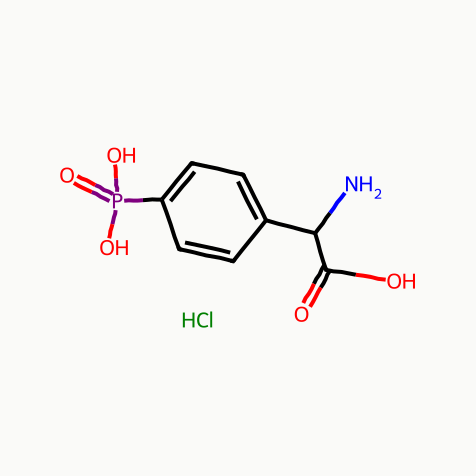 Cl.NC(C(=O)O)c1ccc(P(=O)(O)O)cc1